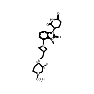 Cn1c(=O)n(C2CCC(=O)NC2=O)c2cccc(N3CC(CO[C@@H]4CCN(C(=O)O)C[C@@H]4F)C3)c21